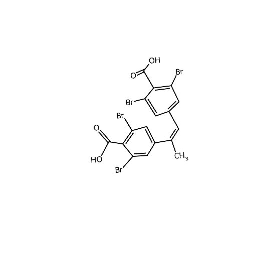 CC(=Cc1cc(Br)c(C(=O)O)c(Br)c1)c1cc(Br)c(C(=O)O)c(Br)c1